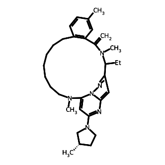 C=C1c2cc(C)ccc2CCCCCCCN(C)c2cc(N3CC[C@H](C)C3)nc3cc(nn23)C(CC)N1C